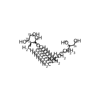 C=C.C=C.C=C.C=C.C=C.C=C.C=C.C=C.C=C.C=CC(=O)O.CC(O)CO.OCCO